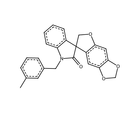 Cc1cccc(CN2C(=O)C3(COc4cc5c(cc43)OCO5)c3ccccc32)c1